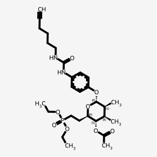 C#CCCCCNC(=O)Nc1ccc(O[C@H]2O[C@H](CCP(=O)(OCC)OCC)[C@@H](OC(C)=O)[C@H](C)[C@@H]2C)cc1